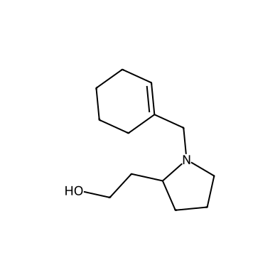 OCCC1CCCN1CC1=CCCCC1